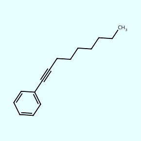 CCCCCCCC#Cc1ccccc1